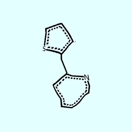 [c]1ccsc1-c1ccccn1